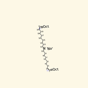 CCCCCCCC/C=C\CCCCCCCC[N-]CCCCCCCC/C=C\CCCCCCCC.[Na+]